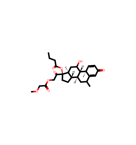 CCCC(=O)O[C@]1(C(=O)COC(=O)COC)CC[C@H]2[C@@H]3CC(C)C4=CC(=O)C=C[C@]4(C)[C@H]3C(O)C[C@@]21C